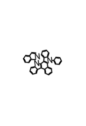 c1ccc(-n2c3ccccc3c3c2c2ccccc2c2c4ccccc4n(-c4nccc5ccccc45)c23)cc1